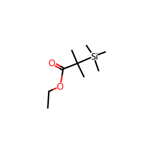 CCOC(=O)C(C)(C)[Si](C)(C)C